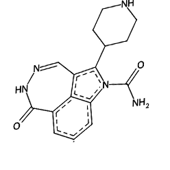 NC(=O)n1c(C2CCNCC2)c2c3c(c[c]cc31)C(=O)NN=C2